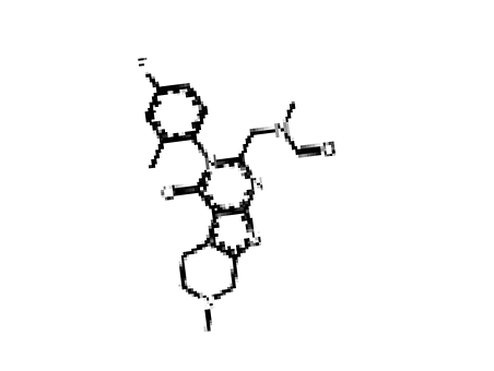 Cc1cc(F)ccc1-n1c(CN(C)C=O)nc2sc3c(c2c1=O)CCN(C)C3